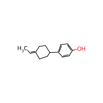 CC=C1CCC(c2ccc(O)cc2)CC1